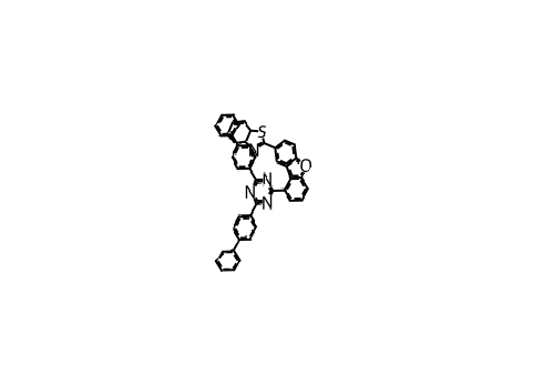 C1=CC2N=C(c3ccc4oc5cccc(-c6nc(-c7ccc(-c8ccccc8)cc7)nc(-c7ccc(-c8ccccc8)cc7)n6)c5c4c3)SC2C=C1